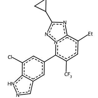 CCc1cc(C(F)(F)F)c(-c2cc(Cl)c3[nH]ncc3c2)n2nc(C3CC3)nc12